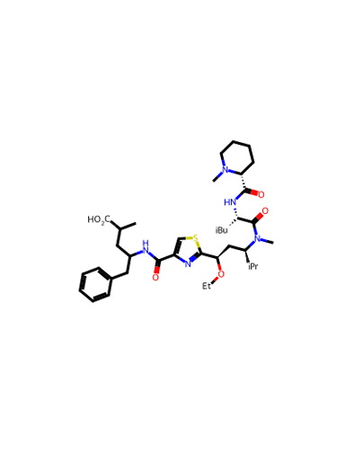 CCO[C@H](C[C@H](C(C)C)N(C)C(=O)[C@@H](NC(=O)[C@H]1CCCCN1C)[C@@H](C)CC)c1nc(C(=O)NC(Cc2ccccc2)CC(C)C(=O)O)cs1